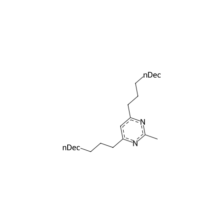 CCCCCCCCCCCCCc1cc(CCCCCCCCCCCCC)nc(C)n1